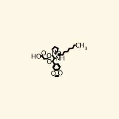 CCCCCCCC(=O)NC(CN1CCCC1)C(OC(=O)CC(=O)O)c1ccc2c(c1)OCCO2